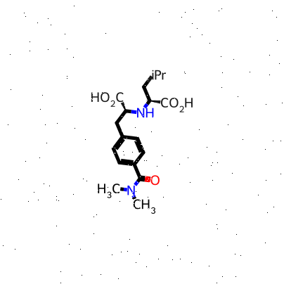 CC(C)C[C@H](N[C@@H](Cc1ccc(C(=O)N(C)C)cc1)C(=O)O)C(=O)O